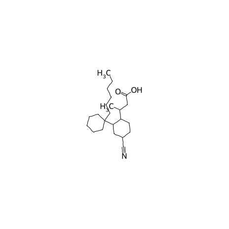 CCCCCCC1(C2CC(C#N)CCC2C(C)CC(=O)O)CCCCC1